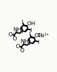 N[C@@H](Cc1cc(I)c(O)c(I)c1)C(=O)[O-].N[C@@H](Cc1cc(I)c(O)c(I)c1)C(=O)[O-].[Cu+2]